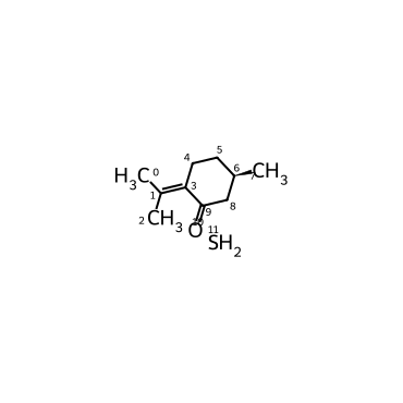 CC(C)=C1CC[C@@H](C)CC1=O.S